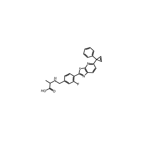 CC(NCc1ccc(-c2nc3ccc(C4(c5ccccc5)C=C4)nc3s2)c(F)c1)C(=O)O